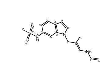 C=CN/C=C(\C)Cn1ccc2ccc(NS(C)(=O)=O)cc21